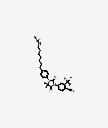 CC1(C)C(=O)N(c2ccc(C#N)c(C(F)(F)F)c2)C(=S)N1c1ccc(CCCCCCCN=[N+]=[N-])cc1